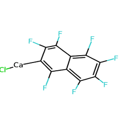 Fc1c(F)c(F)c2c(F)[c]([Ca][Cl])c(F)c(F)c2c1F